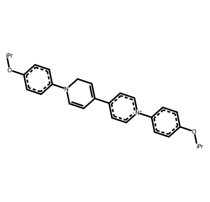 CC(C)Oc1ccc(N2C=CC(c3cc[n+](-c4ccc(OC(C)C)cc4)cc3)=CC2)cc1